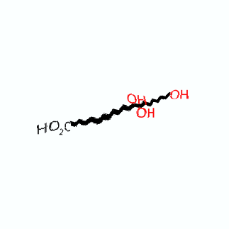 O=C(O)C=CC=CC=CC=CC=CC=CC(O)C(O)CCCCCCCO